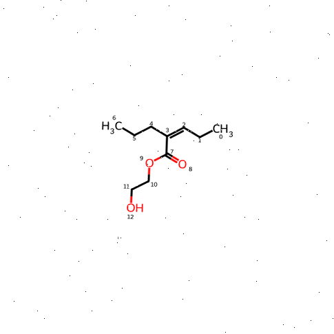 CCC=C(CCC)C(=O)OCCO